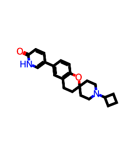 O=c1ccc(-c2ccc3c(c2)CCC2(CCN(C4CCC4)CC2)O3)c[nH]1